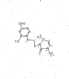 Cc1cc(C=O)ccc1OCCN1C(=O)N(C)C=CC1C